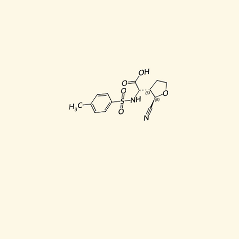 Cc1ccc(S(=O)(=O)NC(C(=O)O)[C@@H]2CCO[C@H]2C#N)cc1